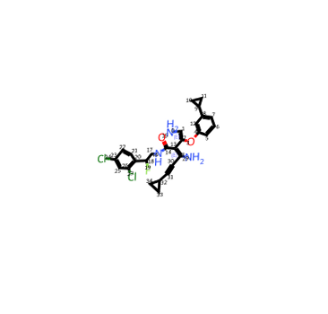 N/C=C(Oc1cccc(C2CC2)c1)\C(C(=O)NCC(F)c1ccc(Cl)cc1Cl)=C(/N)C#CC1CC1